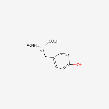 [CH2]C(=O)N[C@@H](Cc1ccc(O)cc1)C(=O)O